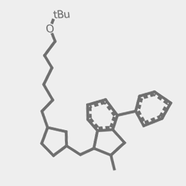 CC1Cc2c(-c3ccccc3)cccc2C1CC1CCC(CCCCCCOC(C)(C)C)C1